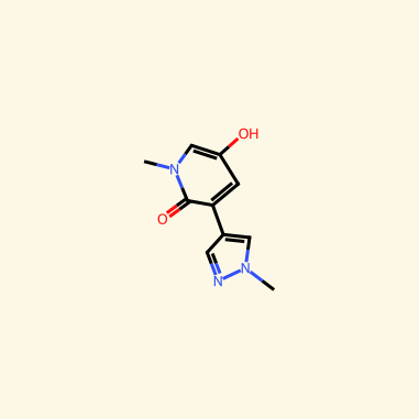 Cn1cc(-c2cc(O)cn(C)c2=O)cn1